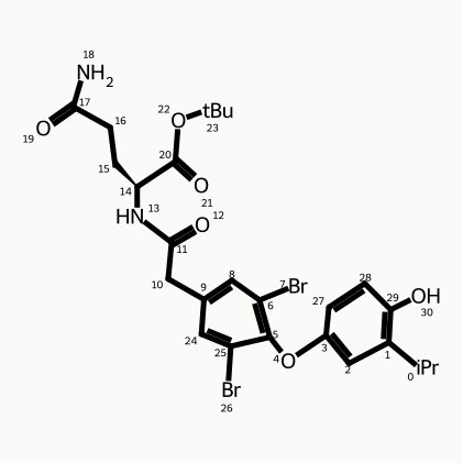 CC(C)c1cc(Oc2c(Br)cc(CC(=O)N[C@@H](CCC(N)=O)C(=O)OC(C)(C)C)cc2Br)ccc1O